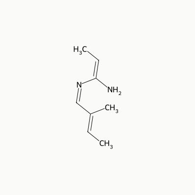 C\C=C(N)/N=C\C(C)=C\C